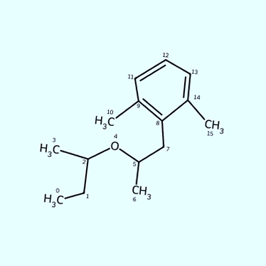 CCC(C)OC(C)Cc1c(C)cccc1C